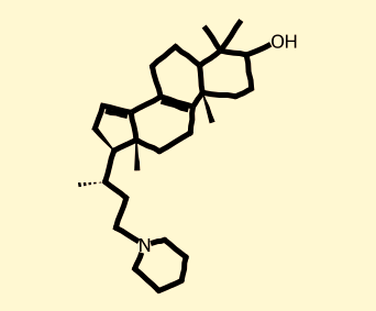 C[C@@H](CCN1CCCCC1)[C@H]1CC=C2C3=C(CC[C@@]21C)[C@@]1(C)CCC(O)C(C)(C)C1CC3